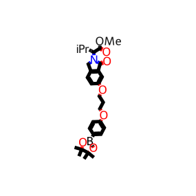 COC(=O)C(C(C)C)N1Cc2ccc(OCCCOc3ccc(B4OC(C)(C)C(C)(C)O4)cc3)cc2C1=O